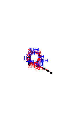 C/C=C1\NC(=O)C(Cc2ccc(O)cc2)NC(=O)[C@@H]([C@H](C)O)NC(=O)[C@@H](NC(=O)/C(=C\C)NC(=O)C[C@H](O)CCCCCCCCCCC)[C@@H](C)OC(=O)[C@H](Cc2c[nH]cn2)NC(=O)[C@H]([C@@H](C)O)NC(=O)CNC(=O)[C@@H](CCC(N)=O)NC1=O